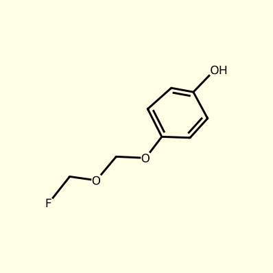 Oc1ccc(OCOCF)cc1